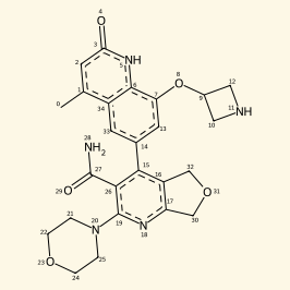 Cc1cc(=O)[nH]c2c(OC3CNC3)cc(-c3c4c(nc(N5CCOCC5)c3C(N)=O)COC4)cc12